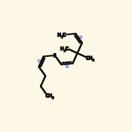 C/C=C\C(C)(C)/C=C\S/C=C\CCC